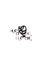 CC(C)(C)CC1C2CC3CC1CC(C2)N3S(C)(=O)=O